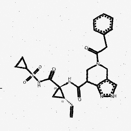 C=C[C@@H]1C[C@]1(NC(=O)C1CN(C(=O)Cc2ccccc2)Cc2c[nH]nc21)C(=O)NS(=O)(=O)C1CC1